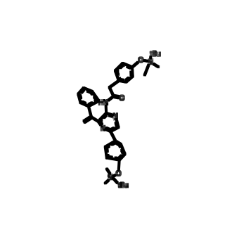 C=C(c1ccccc1)c1nc(-c2ccc(O[Si](C)(C)C(C)(C)C)cc2)cnc1NC(=O)Cc1ccc(O[Si](C)(C)C(C)(C)C)cc1